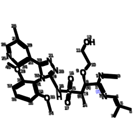 C=N/C(=N\C=C(C)C)[C@H](OCCO)[C@@H](C)S(=O)(=O)Nc1nnc(-c2cncc(C)c2)n1-c1c(OC)cccc1OC